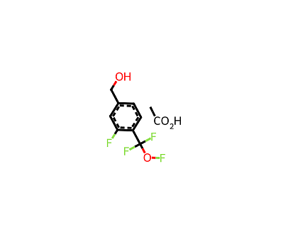 CC(=O)O.OCc1ccc(C(F)(F)OF)c(F)c1